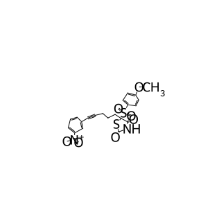 COc1ccc(S(=O)(=O)C2(CCCC#Cc3cccc([N+](=O)[O-])c3)SC(=O)NC2=O)cc1